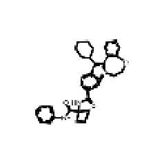 O=C(NC1(C(=O)Nc2ccccc2)CCC1)c1ccc2c(C3CCCCC3)c3n(c2c1)CCOc1ccccc1-3